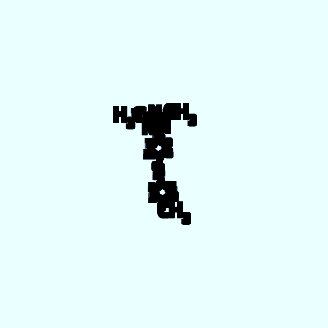 Cc1ccc(C#Cc2ccc(-c3nc(C)nc(C)n3)cc2)cc1